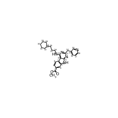 COC(=O)c1ccc2c(c1)[nH]c1nc(Cc3cccnc3)nc(NCCCN3CCCCC3)c12